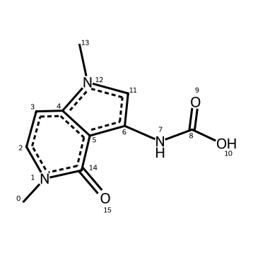 Cn1ccc2c(c(NC(=O)O)cn2C)c1=O